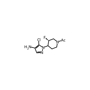 CC(=O)N1CCC(n2ncc(N)c2Cl)[C@@H](F)C1